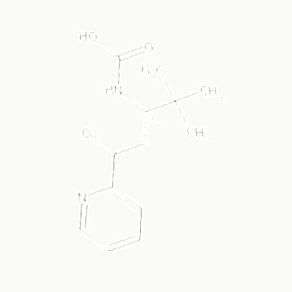 CC(C)(C)[C@H]([CH]C(=O)c1ccccn1)NC(=O)O